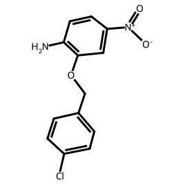 Nc1ccc([N+](=O)[O-])cc1OCc1ccc(Cl)cc1